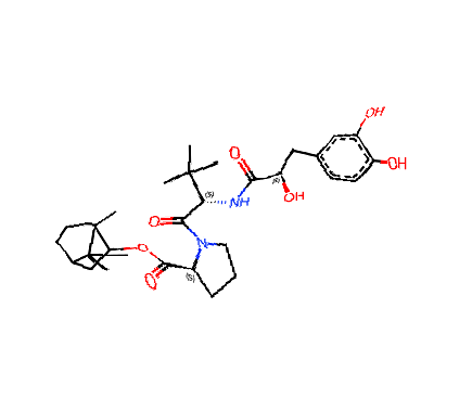 CC(C)(C)[C@H](NC(=O)[C@H](O)Cc1ccc(O)c(O)c1)C(=O)N1CCC[C@H]1C(=O)OC1CC2CCC1(C)C2(C)C